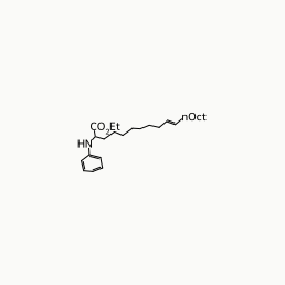 CCCCCCCCC=CCCCCCCCC(Nc1ccccc1)C(=O)OCC